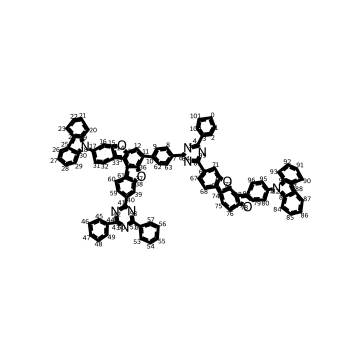 c1ccc(-c2nc(-c3ccc(-c4cc5oc6cc(-n7c8ccccc8c8ccccc87)ccc6c5c5c4oc4cc(-c6nc(-c7ccccc7)nc(-c7ccccc7)n6)ccc45)cc3)nc(-c3ccc4c(c3)oc3c4ccc4oc5cc(-n6c7ccccc7c7ccccc76)ccc5c43)n2)cc1